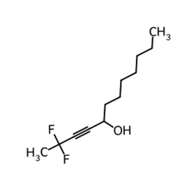 CCCCCCCC(O)C#CC(C)(F)F